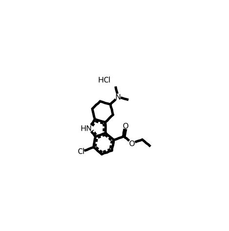 CCOC(=O)c1ccc(Cl)c2[nH]c3c(c12)CC(N(C)C)CC3.Cl